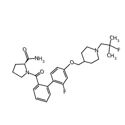 CC(C)(F)CN1CCC(COc2ccc(-c3ccccc3C(=O)N3CCC[C@H]3C(N)=O)c(F)c2)CC1